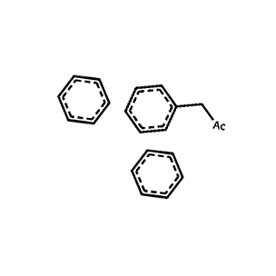 CC(=O)Cc1ccccc1.c1ccccc1.c1ccccc1